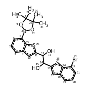 CC1(C)OB(c2cccc3cc(C(O)C(O)c4cc5cccc(Br)c5s4)sc23)OC1(C)C